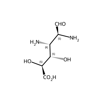 N[C@@H]([C@H](O)[C@H](O)C(=O)O)[C@H](N)C=O